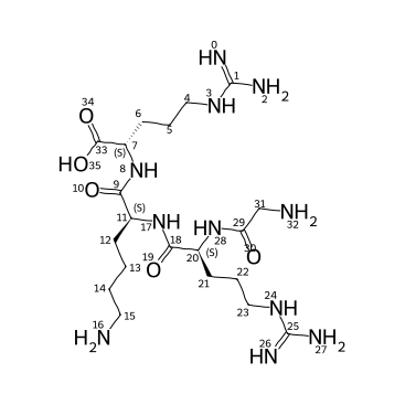 N=C(N)NCCC[C@H](NC(=O)[C@H](CCCCN)NC(=O)[C@H](CCCNC(=N)N)NC(=O)CN)C(=O)O